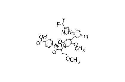 COCCC(C(=O)Nc1ccc(C(=O)O)cc1)n1cc(OC)c(-c2cc(Cl)ccc2-n2cnc(C(F)F)c2)cc1=O